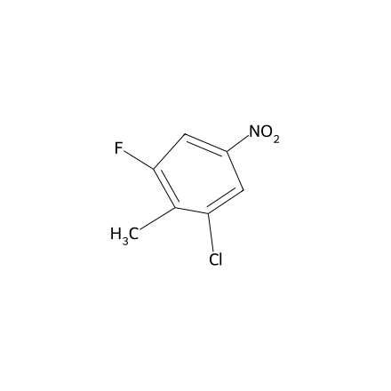 Cc1c(F)cc([N+](=O)[O-])cc1Cl